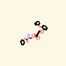 O=C(COc1ccccc1Oc1ccccc1)OCNC(=O)Oc1ccccc1